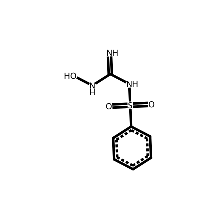 N=C(NO)NS(=O)(=O)c1ccccc1